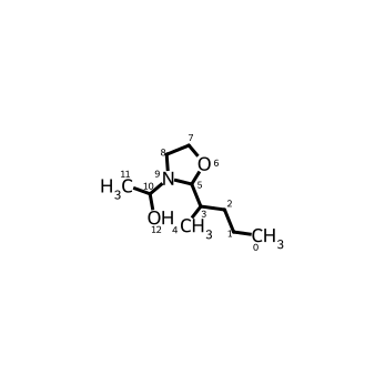 CCCC(C)C1OCCN1C(C)O